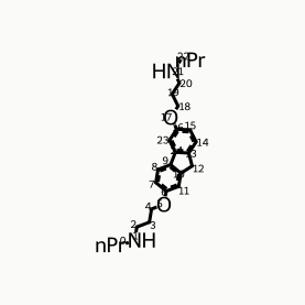 CCCNCCCOc1ccc2c(c1)Cc1ccc(OCCCNCCC)cc1-2